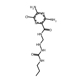 CCCNC(=O)NNCNC(=O)c1nc(Cl)c(N)nc1N